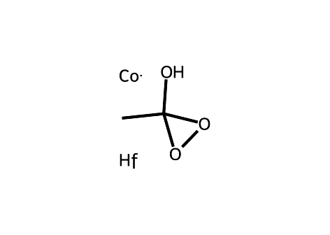 CC1(O)OO1.[Co].[Hf]